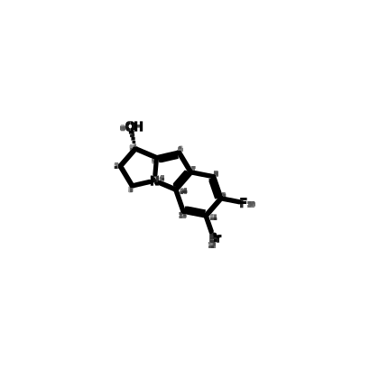 O[C@H]1CCn2c1cc1cc(F)c(Br)cc12